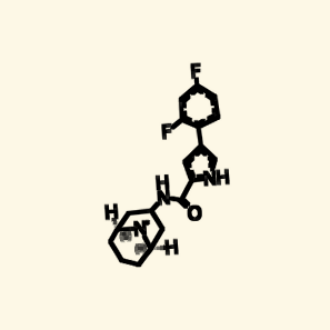 CN1[C@@H]2CCC[C@H]1CC(NC(=O)c1cc(-c3ccc(F)cc3F)c[nH]1)C2